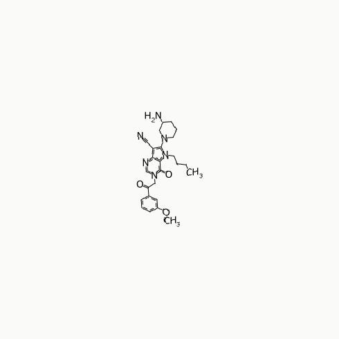 CCCCn1c(N2CCCC(N)C2)c(C#N)c2ncn(CC(=O)c3cccc(OC)c3)c(=O)c21